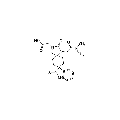 CN(C)C(=O)CN1C(=O)N(CC(=O)O)CC12CCC(c1ccccc1)(N(C)C)CC2